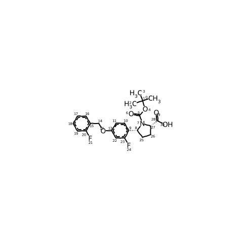 CC(C)(C)OC(=O)N1[C@@H](c2ccc(OCc3ccccc3F)cc2F)CC[C@H]1C(=O)O